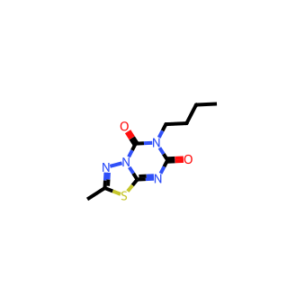 CCCCn1c(=O)nc2sc(C)nn2c1=O